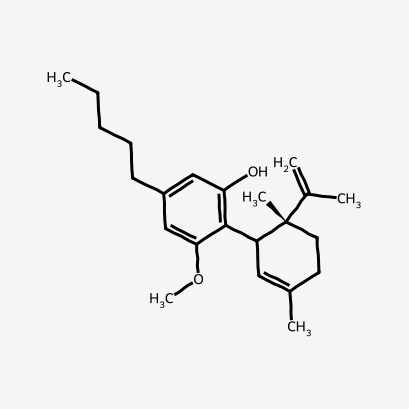 C=C(C)[C@]1(C)CCC(C)=CC1c1c(O)cc(CCCCC)cc1OC